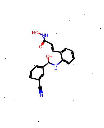 N#Cc1cccc(C(O)Nc2ccccc2/C=C/C(=O)NO)c1